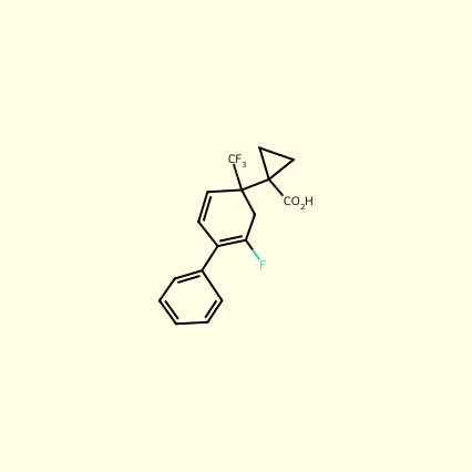 O=C(O)C1(C2(C(F)(F)F)C=CC(c3ccccc3)=C(F)C2)CC1